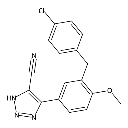 COc1ccc(-c2nn[nH]c2C#N)cc1Cc1ccc(Cl)cc1